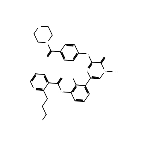 CCCCc1ncccc1C(=O)Nc1cccc(-c2cn(C)c(=O)c(Nc3ccc(C(=O)N4CCOCC4)cc3)n2)c1C